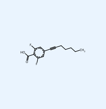 CCCCCC#Cc1cc(F)c(C(=O)O)c(F)c1